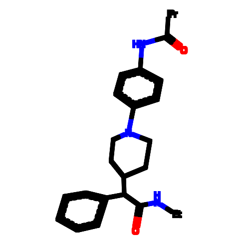 CCNC(=O)C(c1ccccc1)C1CCN(c2ccc(NC(=O)C(C)C)cc2)CC1